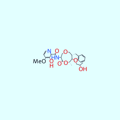 COc1ccnc(C(=O)N[C@H]2COC[C@H](Cc3ccccc3)[C@@H](OCC(C)O)[C@H](C)OC2=O)c1O